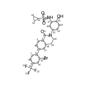 O=C1c2ccc(-c3ccc(C(F)(F)F)cc3Br)cc2CCN1c1ccc(O)c(NS(=O)(=O)C2CC2)c1